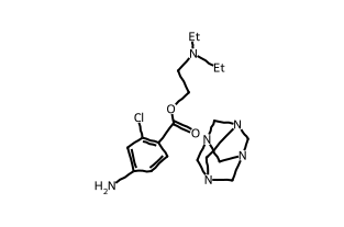 C1N2CN3CN1CN(C2)C3.CCN(CC)CCOC(=O)c1ccc(N)cc1Cl